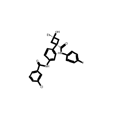 CC[C@]1(O)C[C@@](C(=O)Nc2ccc(F)cc2)(c2ccc(NC(=O)c3cccc(Cl)c3)cc2)C1